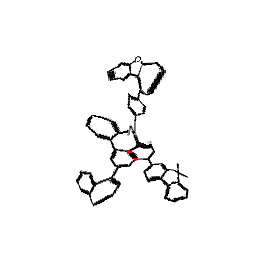 CC1(C)c2ccccc2-c2ccc(-c3ccc(N(c4ccc(-c5cccc6oc7ccccc7c56)cc4)c4ccccc4-c4cccc(-c5cccc6ccccc56)c4)cc3)cc21